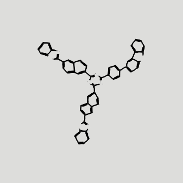 c1ccc2oc(-c3ccc4cc(-c5nc(-c6ccc(-c7ccc8oc9ccccc9c8c7)cc6)nc(-c6ccc7cc(-c8nc9ccccc9o8)ccc7c6)n5)ccc4c3)nc2c1